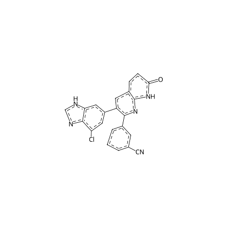 N#Cc1cccc(-c2nc3[nH]c(=O)ccc3cc2-c2cc(Cl)c3nc[nH]c3c2)c1